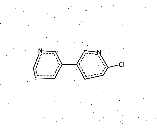 Clc1ccc(-c2[c]nccc2)cn1